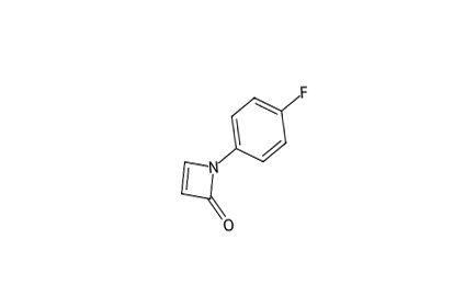 O=C1C=CN1c1ccc(F)cc1